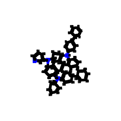 c1ccc(-c2ccc(N(c3ccccc3)c3ccc4c5c3ccc3c(N(c6ccccc6)c6ccc(-c7ccccc7)cc6)ccc(c35)n4-c3cccnc3)cc2)cc1